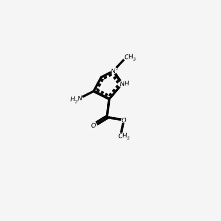 COC(=O)c1[nH][n+](C)cc1N